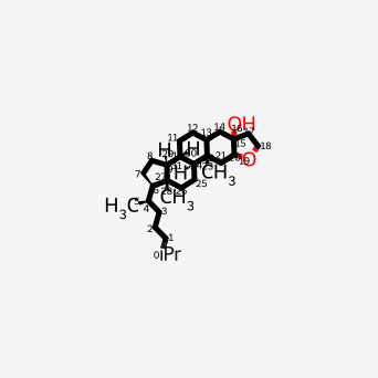 CC(C)CCC[C@@H](C)[C@H]1CC[C@H]2[C@@H]3CCC4CC5(O)CCOC5C[C@]4(C)[C@H]3CC[C@]12C